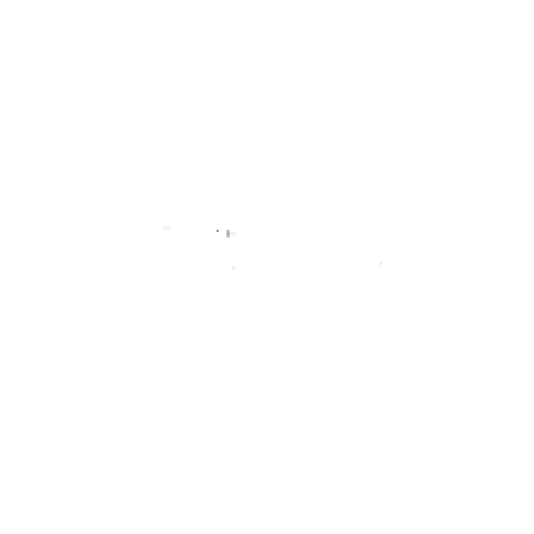 CCc1ccc(C(=O)NC=O)cc1